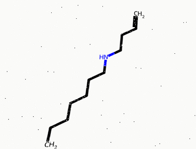 C=CCCNCCCCCCC